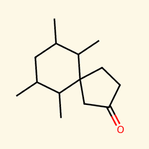 CC1CC(C)C(C)C2(CCC(=O)C2)C1C